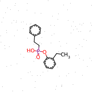 CCc1ccccc1OP(=O)(O)CCc1ccccc1